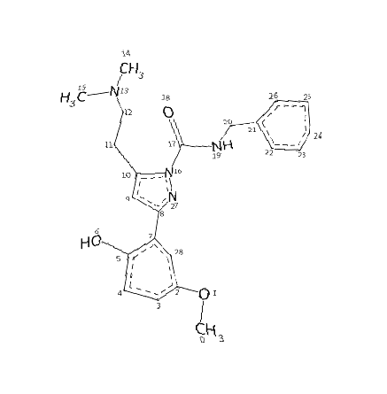 COc1ccc(O)c(-c2cc(CCN(C)C)n(C(=O)NCc3ccccc3)n2)c1